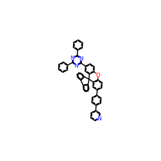 c1ccc(-c2nc(-c3ccccc3)nc(-c3ccc4c(c3)C3(c5cc(-c6ccc(-c7cccnc7)cc6)ccc5O4)c4ccccc4-c4ccccc43)n2)cc1